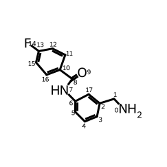 NCc1cccc(NC(=O)c2ccc(F)cc2)c1